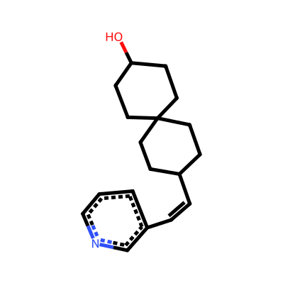 OC1CCC2(CC1)CCC(/C=C\c1cccnc1)CC2